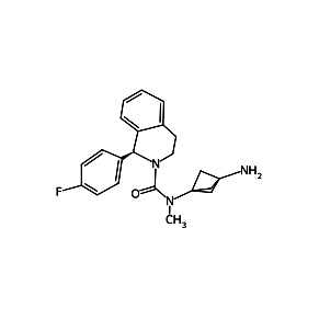 CN(C(=O)N1CCc2ccccc2[C@@H]1c1ccc(F)cc1)C12CC(N)(C1)C2